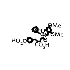 COc1cc(OC)c(CN(OCc2ccccc2)C(=O)CCC(Cc2ccc(C(=O)O)cc2)C(=O)O)c(OC)c1